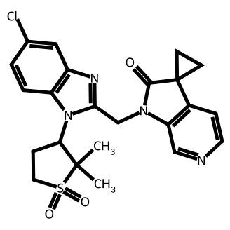 CC1(C)C(n2c(CN3C(=O)C4(CC4)c4ccncc43)nc3cc(Cl)ccc32)CCS1(=O)=O